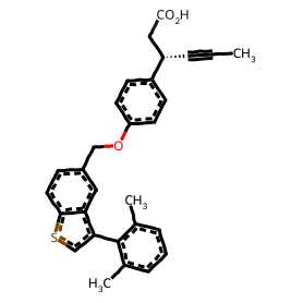 CC#C[C@@H](CC(=O)O)c1ccc(OCc2ccc3scc(-c4c(C)cccc4C)c3c2)cc1